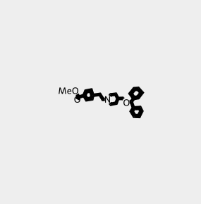 COC(=O)c1ccc(CCN2CCC(COC(c3ccccc3)c3ccccc3)CC2)cc1